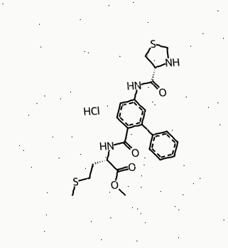 COC(=O)[C@H](CCSC)NC(=O)c1ccc(NC(=O)[C@@H]2CSCN2)cc1-c1ccccc1.Cl